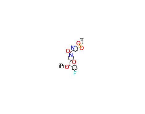 CC(C)OC1CC2(CCN(C(=O)c3ccc(S(=O)(=O)CC4CC4)cn3)CC2)Oc2ccc(F)cc21